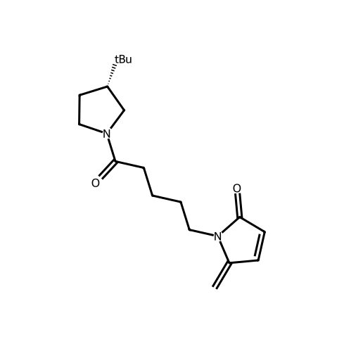 C=C1C=CC(=O)N1CCCCC(=O)N1CC[C@H](C(C)(C)C)C1